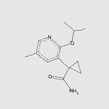 Cc1cnc(OC(C)C)c(C2(C(N)=O)CC2)c1